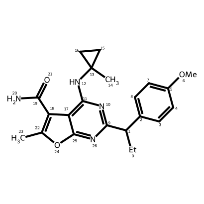 CCC(c1ccc(OC)cc1)c1nc(NC2(C)CC2)c2c(C(N)=O)c(C)oc2n1